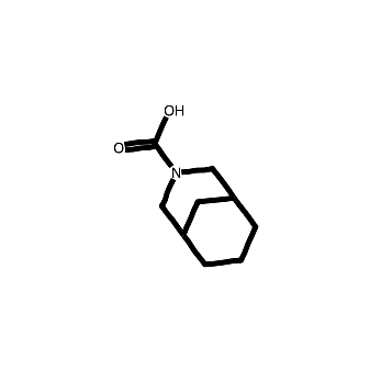 O=C(O)N1CC2CCCC(C2)C1